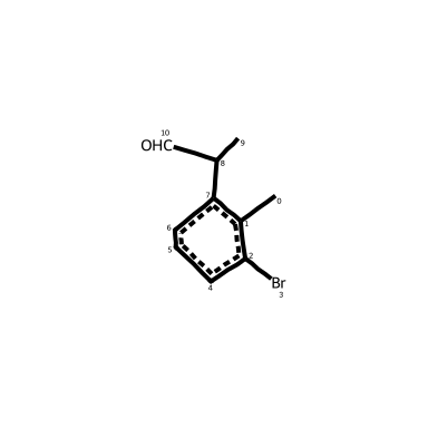 Cc1c(Br)cccc1C(C)C=O